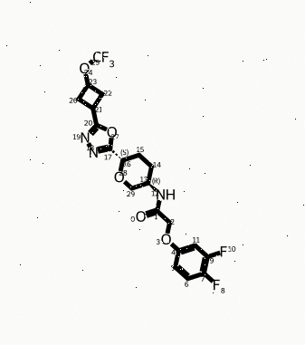 O=C(COc1ccc(F)c(F)c1)N[C@@H]1CC[C@@H](c2nnc(C3CC(OC(F)(F)F)C3)o2)OC1